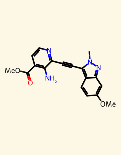 COC(=O)c1ccnc(C#Cc2c3ccc(OC)cc3nn2C)c1N